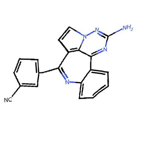 N#Cc1cccc(C2=Nc3ccccc3-c3nc(N)nn4ccc2c34)c1